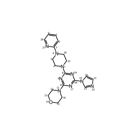 c1ccc(N2CCN(c3nc(N4CCOCC4)nc(-n4ccnc4)n3)CC2)nc1